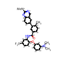 CNc1ncc2cc(-c3cc(C(=O)Nc4cc(C(F)(F)F)ccc4Oc4cccc(N(C)C)c4)ccc3C)ccc2n1